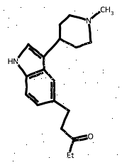 CCC(=O)CCc1ccc2[nH]cc(C3CCN(C)CC3)c2c1